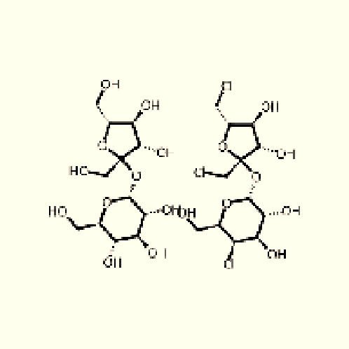 OC[C@H]1O[C@@](CO)(O[C@H]2O[C@H](CO)[C@@H](O)[C@H](O)[C@H]2O)[C@@H](O)[C@@H]1O.OC[C@H]1O[C@H](O[C@]2(CCl)O[C@H](CCl)[C@@H](O)[C@@H]2O)[C@H](O)[C@@H](O)[C@H]1Cl